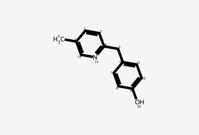 Cc1ccc(Cc2ccc(O)cc2)nc1